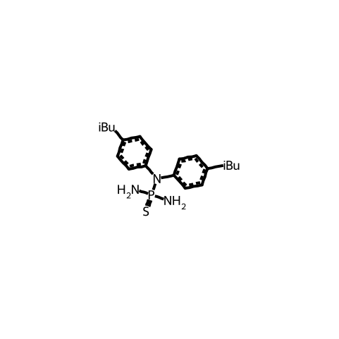 CCC(C)c1ccc(N(c2ccc(C(C)CC)cc2)P(N)(N)=S)cc1